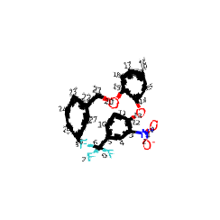 O=[N+]([O-])c1cc(C(F)(F)F)ccc1Oc1ccccc1OCc1ccccc1